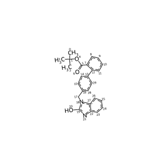 CC(C)(C)OC(=O)c1ccccc1-c1ccc(Cn2c(O)nc3ccccc32)cc1